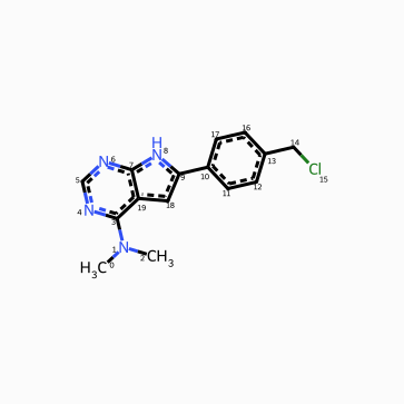 CN(C)c1ncnc2[nH]c(-c3ccc(CCl)cc3)cc12